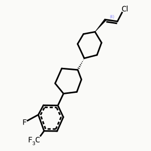 Fc1cc(C2CCC([C@H]3CC[C@H](/C=C/Cl)CC3)CC2)ccc1C(F)(F)F